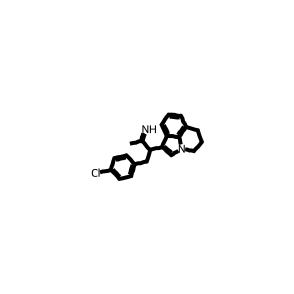 CC(=N)C(Cc1ccc(Cl)cc1)c1cn2c3c(cccc13)CCC2